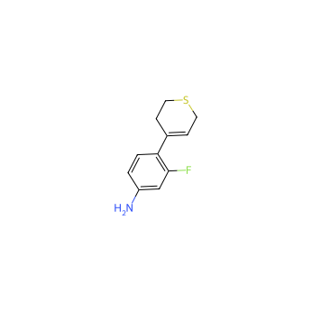 Nc1ccc(C2=CCSCC2)c(F)c1